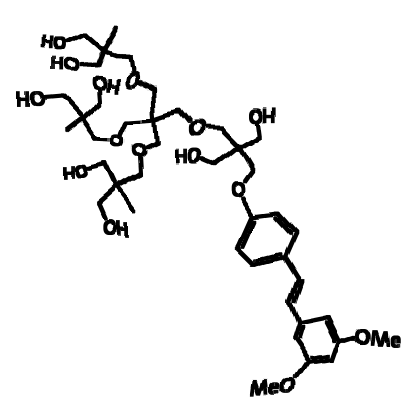 COc1cc(/C=C/c2ccc(OCC(CO)(CO)COCC(COCC(C)(CO)CO)(COCC(C)(CO)CO)COCC(C)(CO)CO)cc2)cc(OC)c1